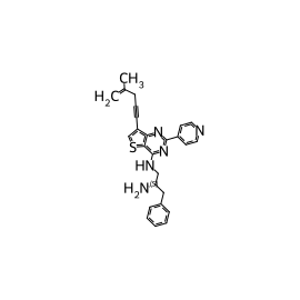 C=C(C)CC#Cc1csc2c(NC[C@@H](N)Cc3ccccc3)nc(-c3ccncc3)nc12